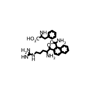 N=C(N)NCCCC(N)C(=O)c1ccc2ccccc2c1C(N)=O.NC(Cc1ccccc1)C(=O)O